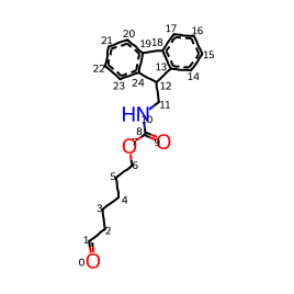 O=CCCCCCOC(=O)NCC1c2ccccc2-c2ccccc21